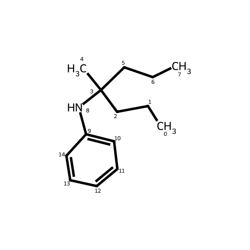 CCCC(C)(CCC)Nc1ccccc1